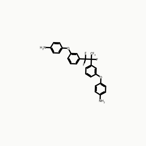 Nc1ccc(Oc2cccc(C(F)(F)C(F)(c3cccc(Oc4ccc(N)cc4)c3)C(F)(F)F)c2)cc1